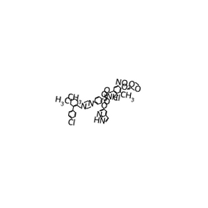 Cc1c(Cl)c(C(=O)NS(=O)(=O)c2ccc(N3CCN(CC4=C(c5ccc(Cl)cc5)CC(C)(C)CC4)CC3)cc2Oc2cnc3[nH]ccc3c2)cc([N+](=O)[O-])c1OCC1COCCO1